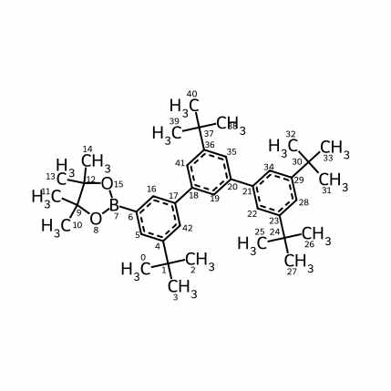 CC(C)(C)c1cc(B2OC(C)(C)C(C)(C)O2)cc(-c2cc(-c3cc(C(C)(C)C)cc(C(C)(C)C)c3)cc(C(C)(C)C)c2)c1